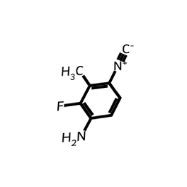 [C-]#[N+]c1ccc(N)c(F)c1C